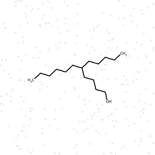 CCCCCCC(CCCCC)CCCCO